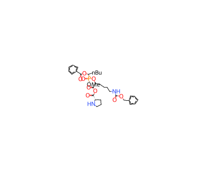 CCCCC(OC(=O)c1ccccc1)P(=O)(OC)OC(CCCCNC(=O)OCc1ccccc1)C(=O)OC(=O)[C@@H]1CCCN1